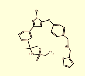 CCn1nc(-c2cccc(C(C)(C)NS(=O)(=O)CC(F)(F)F)c2)cc1Oc1ccc(CNCc2cccs2)cc1